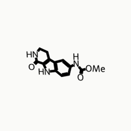 COC(=O)Nc1ccc2[nH]c3c(c2c1)CCNC3=O